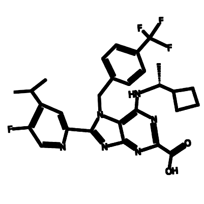 CC(C)c1cc(-c2nc3nc(C(=O)O)nc(N[C@H](C)C4CCC4)c3n2Cc2ccc(C(F)(F)F)cc2)ncc1F